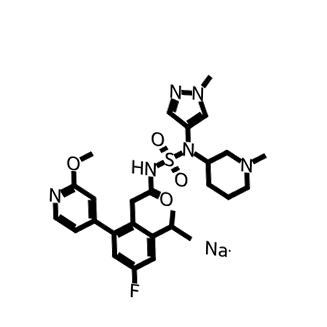 COc1cc(-c2cc(F)cc(C(C)C)c2CC(=O)NS(=O)(=O)N(c2cnn(C)c2)C2CCCN(C)C2)ccn1.[Na]